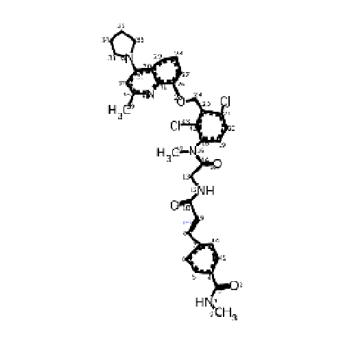 CNC(=O)c1ccc(/C=C/C(=O)NCC(=O)N(C)c2ccc(Cl)c(COc3cccc4c(N5CCCC5)cc(C)nc34)c2Cl)cc1